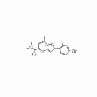 Cc1cc(Br)ccc1-c1cc2nc(C(=O)N(C)C)cc(C)n2n1